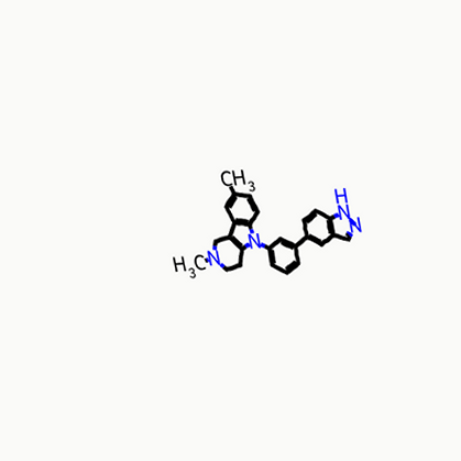 Cc1ccc2c(c1)c1c(n2-c2cccc(-c3ccc4[nH]ncc4c3)c2)CCN(C)C1